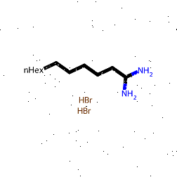 Br.Br.CCCCCCCCCCCC(N)N